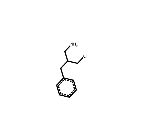 NCC(CCl)Cc1ccccc1